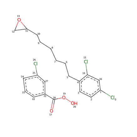 Clc1ccc(CCCCCCC2CO2)c(Cl)c1.O=C(OO)c1cccc(Cl)c1